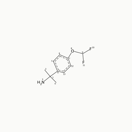 CC(C)(N)c1ccc(OC(F)F)cc1